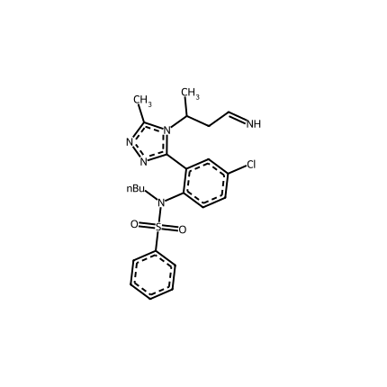 CCCCN(c1ccc(Cl)cc1-c1nnc(C)n1C(C)CC=N)S(=O)(=O)c1ccccc1